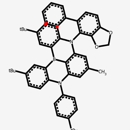 Cc1cc2c3c(c1)N(c1c(-c4ccccc4)ccc4c1OCO4)c1ccc(C(C)(C)C)cc1B3c1cc(C(C)(C)C)ccc1N2c1ccc(C(C)(C)C)cc1